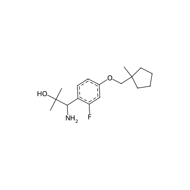 CC1(COc2ccc(C(N)C(C)(C)O)c(F)c2)CCCC1